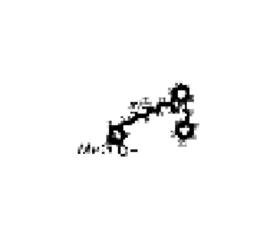 COc1ccc(C=CC(=O)CC(=O)C=Cc2cn(Cc3ccccc3)c3ccccc23)cc1O